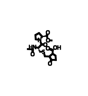 COC(=O)[C@@H]1CCCN1C(=O)[C@H](CSCC1C(=O)CCC1C(=O)O)NC(C)=O